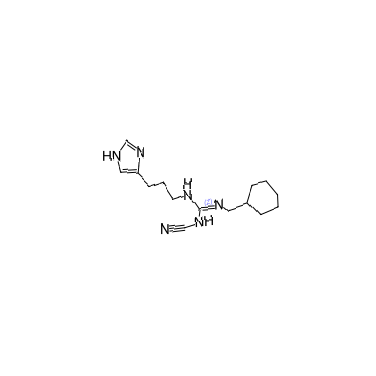 N#CN/C(=N\CC1CCCCC1)NCCCc1c[nH]cn1